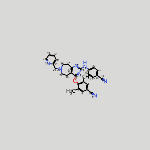 Cc1cc(C#N)cc(C)c1Oc1nc(Nc2ccc(C#N)cc2)nc2c1CCN(Cc1ccccn1)CC2